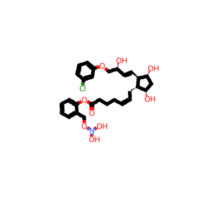 O=C(CCC/C=C\C[C@@H]1[C@@H](/C=C/[C@@H](O)COc2cccc(Cl)c2)[C@H](O)C[C@@H]1O)Oc1ccccc1CON(O)O